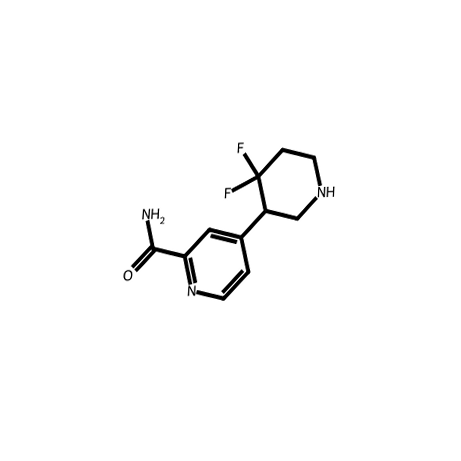 NC(=O)c1cc(C2CNCCC2(F)F)ccn1